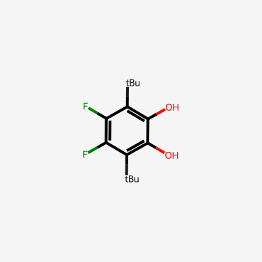 CC(C)(C)c1c(O)c(O)c(C(C)(C)C)c(F)c1F